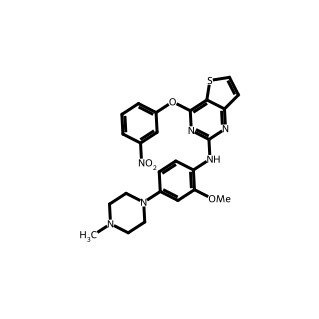 COc1cc(N2CCN(C)CC2)ccc1Nc1nc(Oc2cccc([N+](=O)[O-])c2)c2sccc2n1